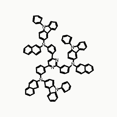 c1ccc(-n2c3ccccc3c3cc(N(c4cccc(-c5cc(-c6cccc(N(c7ccc8ccccc8c7)c7ccc8c(c7)c7ccccc7n8-c7ccccc7)c6)nc(-c6cccc(N(c7ccc8ccccc8c7)c7ccc8c(c7)c7ccccc7n8-c7ccccc7)c6)n5)c4)c4ccc5ccccc5c4)ccc32)cc1